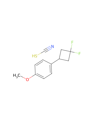 COc1ccc(C2CC(F)(F)C2)cc1.N#CS